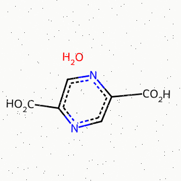 O.O=C(O)c1cnc(C(=O)O)cn1